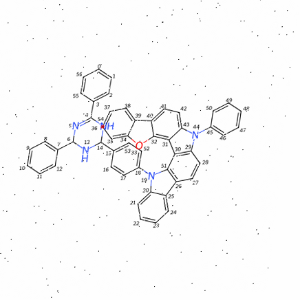 c1ccc(C2=NC(c3ccccc3)NC(c3ccc(-n4c5ccccc5c5ccc6c(c7c8oc9ccccc9c8ccc7n6-c6ccccc6)c54)cc3)N2)cc1